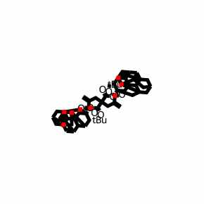 C=C(CC(CC(=C)C(=O)OC(C)(C)C)(C(=O)OC12CC3C4C5CC6CC78CC9CC(C57)C3C(C9)(C1)C8C4(C6)C2)C(=O)OC12CC3C4C5CC6CC78CC9CC(C57)C3C(C9)(C1)C8C4(C6)C2)C(=O)OC(C)(C)C